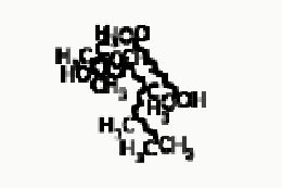 Cc1c(C)c2c(c(C)c1O)CC[C@@](C)(CCCC(C)CCCC(C)CCCC(C)C)O2.O=C(O)CCCCCCCCC(=O)O